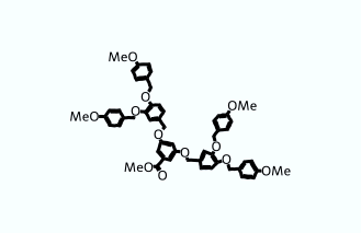 COC(=O)c1cc(OCc2ccc(OCc3ccc(OC)cc3)c(OCc3ccc(OC)cc3)c2)cc(OCc2ccc(OCc3ccc(OC)cc3)c(OCc3ccc(OC)cc3)c2)c1